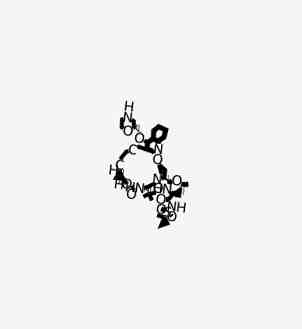 C=C[C@@H]1C[C@]1(NC(=O)[C@@H]1CC2CN1C(=O)[C@H](C(C)(C)C)NC(=O)O[C@@H]1C[C@H]1CCCCCc1c(nc3ccccc3c1OC[C@H]1CNCCO1)O2)C(=O)NS(=O)(=O)C1(C)CC1